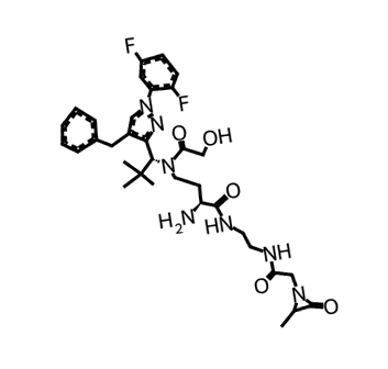 CC1C(=O)N1CC(=O)NCCNC(=O)[C@@H](N)CCN(C(=O)CO)[C@@H](c1nn(-c2cc(F)ccc2F)cc1Cc1ccccc1)C(C)(C)C